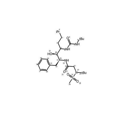 CC(C)CCC(NC(=O)NC(C)(C)C)[C@H](O)[C@H](Cc1ccccc1)NC(=O)CN(C(C)(C)C)S(C)(=O)=O